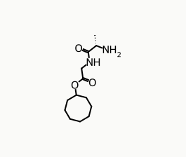 C[C@H](N)C(=O)NCC(=O)OC1CCCCCCC1